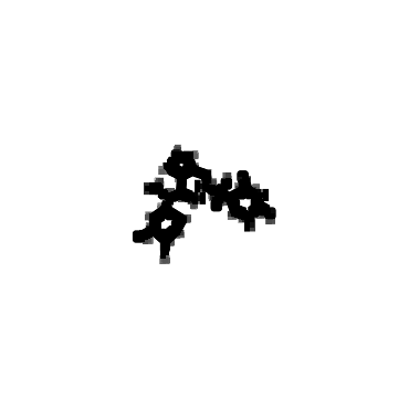 N=C(c1nonc1CNS(=O)(=O)c1c[nH]c(=O)[nH]c1=O)N(O)c1ccc(F)c(Cl)c1